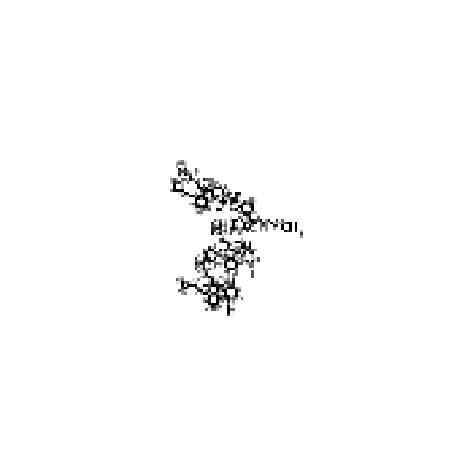 COCCCC[C@@](O)(c1cccc(OC(F)(F)F)c1)C1CCCNC1.COCCCC[C@@](O)(c1ccccc1OC1CCCC1)C1CCCNC1.COCCCC[C@@](O)(c1ccccc1OCC1CCC1)C1CCCNC1.COCCCC[C@@](O)(c1ccccc1OCCC1CC1)C1CCCNC1